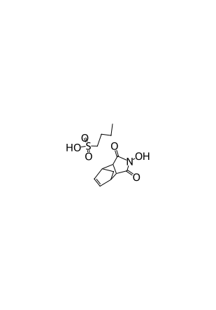 CCCCS(=O)(=O)O.O=C1C2C3C=CC(C3)C2C(=O)N1O